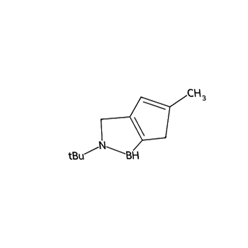 CC1=CC2=C(BN(C(C)(C)C)C2)C1